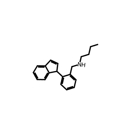 CCCCNCc1ccccc1C1C=Cc2ccccc21